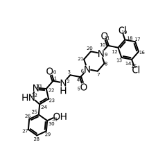 O=C(NCC(=O)N1CCN(C(=O)c2cc(Cl)ccc2Cl)CC1)c1cc(-c2ccccc2O)[nH]n1